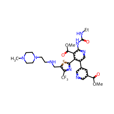 CCNC(=O)Nc1ncc(-c2cncc(C(=O)OC)c2)c(-c2nc(C(F)(F)F)c(CNCCN3CCN(C)CC3)s2)c1C(=O)OC